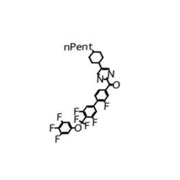 CCCCCC1CCC(c2cnc(C(=O)c3ccc(-c4cc(F)c(C(F)(F)Oc5cc(F)c(F)c(F)c5)c(F)c4)c(F)c3)nc2)CC1